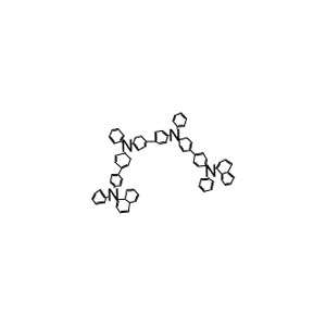 C1=CC2C=CC=C(N(c3ccccc3)c3ccc(C4=CCC(N(C5=CC=C(c6ccc(N(c7ccccc7)C7C=CC(c8ccc(N(c9ccccc9)c9cccc%10ccccc9%10)cc8)=CC7)cc6)CC5)c5ccccc5)C=C4)cc3)C2C=C1